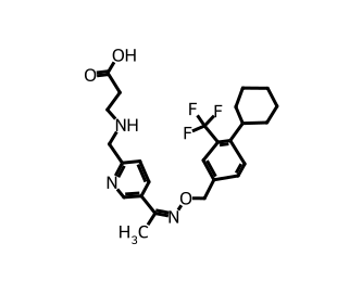 CC(=NOCc1ccc(C2CCCCC2)c(C(F)(F)F)c1)c1ccc(CNCCC(=O)O)nc1